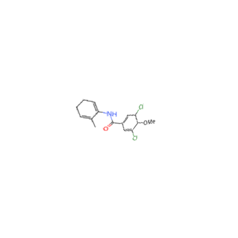 COC1C(Cl)=CC(C(=O)NC2=CCCC=C2C)=CC1Cl